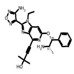 CCn1c(-c2nonc2N)nc2c(C#CC(C)(C)O)nc(O[C@H](c3ccccc3)[C@H](C)N)cc21